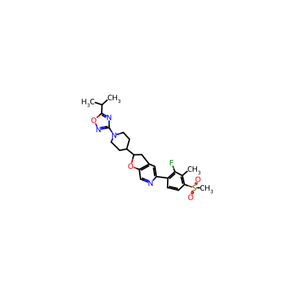 Cc1c(S(C)(=O)=O)ccc(-c2cc3c(cn2)OC(C2CCN(c4noc(C(C)C)n4)CC2)C3)c1F